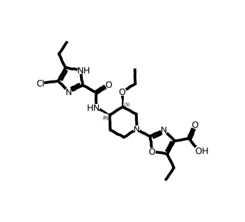 CCO[C@H]1CN(c2nc(C(=O)O)c(CC)o2)CC[C@H]1NC(=O)c1nc(Cl)c(CC)[nH]1